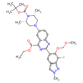 CCOC(=O)c1nc(-c2cc3cn(C)nc3c(F)c2OCOC)nc2ccc(N3C[C@@H](C)N(C(=O)OC(C)(C)C)[C@@H](C)C3)cc12